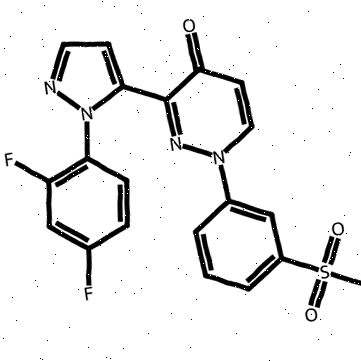 CS(=O)(=O)c1cccc(-n2ccc(=O)c(-c3ccnn3-c3ccc(F)cc3F)n2)c1